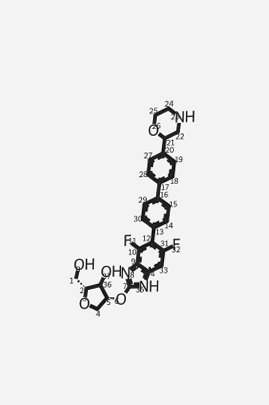 OC[C@H]1OC[C@@H](Oc2nc3c(F)c(-c4ccc(-c5ccc(C6CNCCO6)cc5)cc4)c(F)cc3[nH]2)C1O